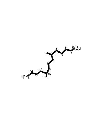 CCC(C)CCCCC(C)CCCC(C)CCCC(C)C